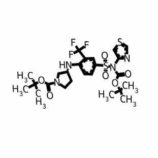 CC(C)(C)OC(=O)N1CC[C@H](Nc2ccc(S(=O)(=O)N(C(=O)OC(C)(C)C)c3cscn3)cc2C(F)(F)F)C1